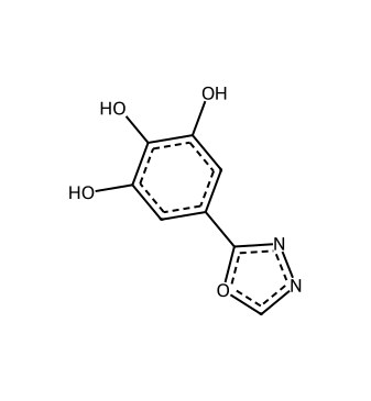 Oc1cc(-c2nnco2)cc(O)c1O